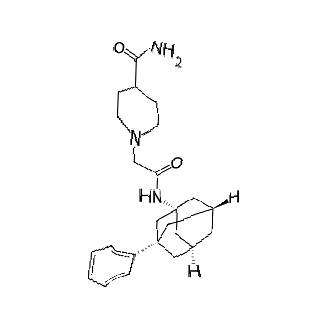 NC(=O)C1CCN(CC(=O)N[C@@]23C[C@H]4C[C@@H](C2)C[C@@](c2ccccc2)(C4)C3)CC1